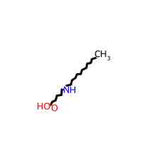 CCCCCCCCCCCCCNCCCCCC(=O)O